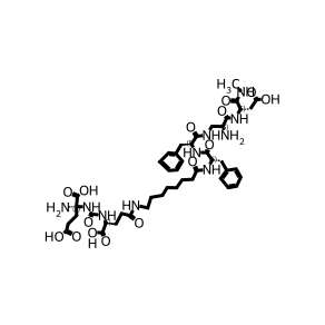 CNC(=O)[C@H](CC(=O)O)NC(=O)[C@@H](N)CNC(=O)[C@H](Cc1ccccc1)NC(=O)[C@H](Cc1ccccc1)NC(=O)CCCCCCCNC(=O)CC[C@H](NC(=O)N[C@@](N)(CCC(=O)O)C(=O)O)C(=O)O